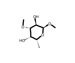 CO[C@H]1O[C@H](C)[C@H](O)[C@H](OC)[C@H]1O